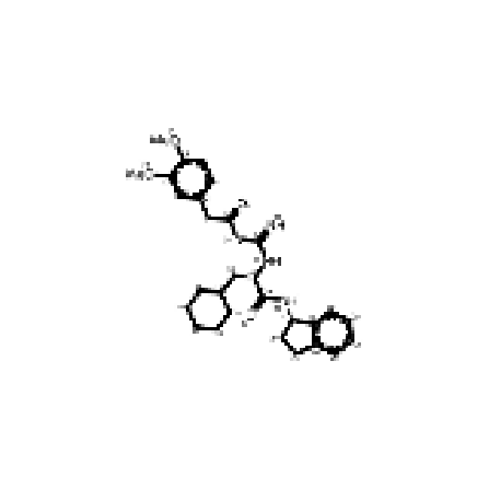 COc1ccc(CC(=O)NC(=N)N[C@H](CC2CCCCC2)C(=O)N[C@H]2CCc3ccccc32)cc1OC